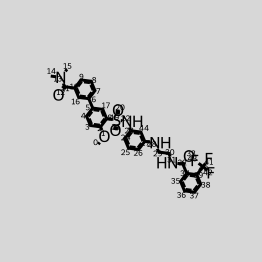 COc1ccc(-c2cccc(C(=O)N(C)C)c2)cc1S(=O)(=O)Nc1cccc(NCCNC(=O)c2ccccc2C(F)(F)F)c1